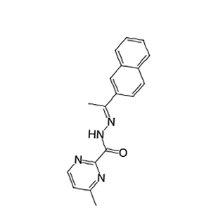 C/C(=N\NC(=O)c1nccc(C)n1)c1ccc2ccccc2c1